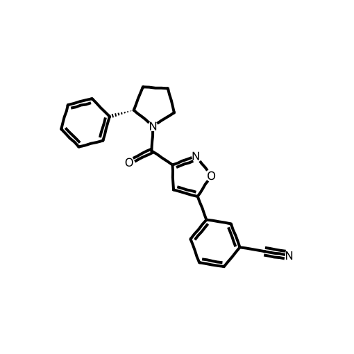 N#Cc1cccc(-c2cc(C(=O)N3CCC[C@H]3c3ccccc3)no2)c1